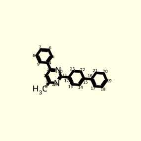 Cc1cc(-c2ccccc2)nc(C2=CC=C(C3=CC=CCC3)CC2)n1